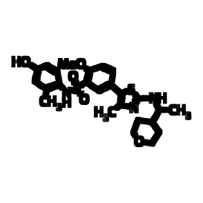 COc1ccc(-c2sc(NC(C)C3CCOCC3)nc2C)cc1S(=O)(=O)Nc1ccc(O)cc1C